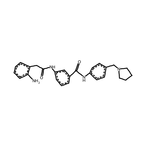 Nc1ccccc1CC(=O)Nc1cccc(C(=O)Nc2ccc(CN3CCCC3)cc2)c1